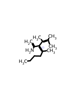 C=C(N)/C(C(C)=C(C)C)=C(/C)CCCC